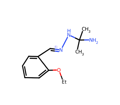 CCOc1ccccc1/C=N/NC(C)(C)N